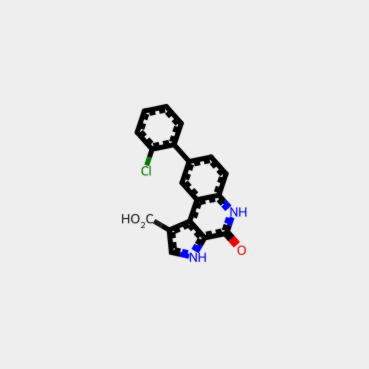 O=C(O)c1c[nH]c2c(=O)[nH]c3ccc(-c4ccccc4Cl)cc3c12